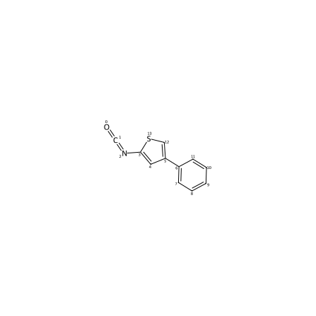 O=C=Nc1cc(-c2ccccc2)cs1